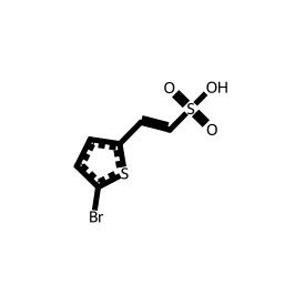 O=S(=O)(O)C=Cc1ccc(Br)s1